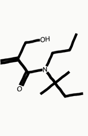 C=C(CO)C(=O)N(CCC)C(C)(C)CC